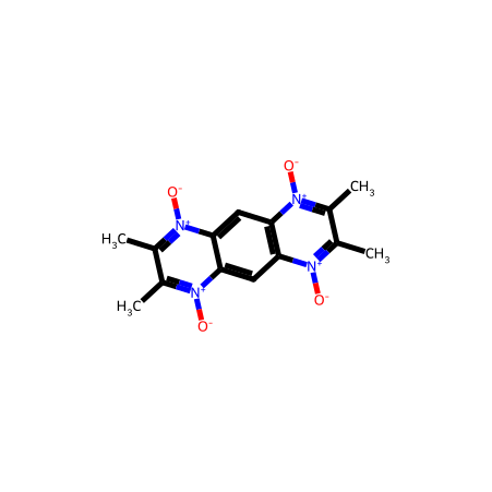 Cc1c(C)[n+]([O-])c2cc3c(cc2[n+]1[O-])[n+]([O-])c(C)c(C)[n+]3[O-]